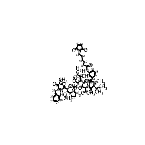 CC[C@H](C)[C@@H]([C@@H](CC(=O)N1CCC[C@H]1[C@H](OC)[C@@H](C)C(=O)N[C@@H](Cc1ccccc1)C(=O)OC)OC)N(C)C(=O)[C@@H](NC(=O)[C@H](C(C)C)N(C)Cc1cccc(NC(=O)CCCCCN2C(=O)C=CC2=O)c1)C(C)C